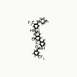 Cc1ccc(NC(=O)c2cccc(C(F)(F)F)c2)cc1-c1cc2cnc(Nc3ccc(CN4CCN(C)CC4)c(C(F)(F)F)c3)nc2c(=O)n1C